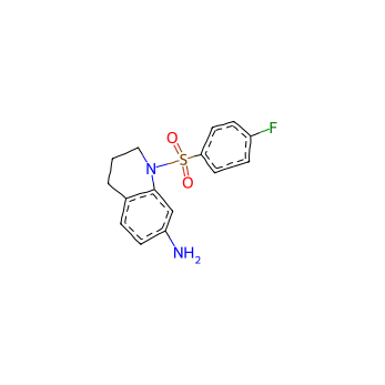 Nc1ccc2c(c1)N(S(=O)(=O)c1ccc(F)cc1)CCC2